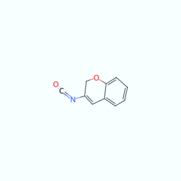 O=C=NC1=Cc2ccccc2OC1